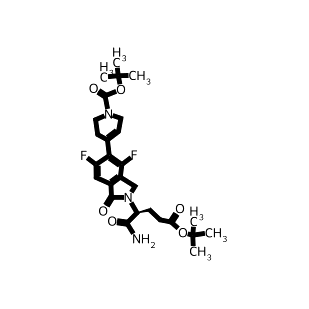 CC(C)(C)OC(=O)CC[C@@H](C(N)=O)N1Cc2c(cc(F)c(C3=CCN(C(=O)OC(C)(C)C)CC3)c2F)C1=O